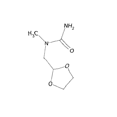 CN(CC1OCCO1)C(N)=O